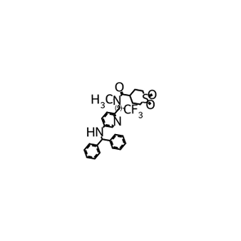 CN(C(=O)C1CCS(=O)(=O)CC1)[C@@H](c1ccc(NC(c2ccccc2)c2ccccc2)cn1)C(F)(F)F